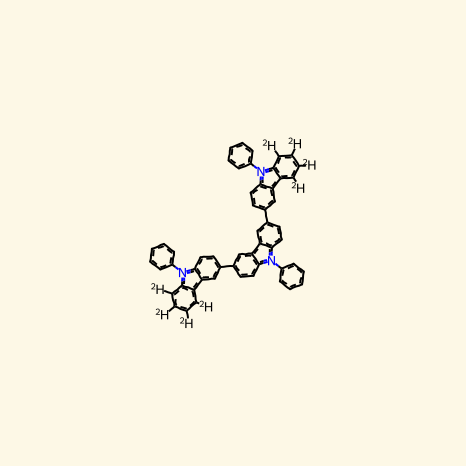 [2H]c1c([2H])c([2H])c2c(c1[2H])c1cc(-c3ccc4c(c3)c3cc(-c5ccc6c(c5)c5c([2H])c([2H])c([2H])c([2H])c5n6-c5ccccc5)ccc3n4-c3ccccc3)ccc1n2-c1ccccc1